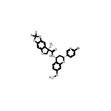 COc1ccc2c(c1)O[C@@H](c1ccc(Br)nc1)C[C@H]2NC(=O)[C@@]1(C)COc2cc3c(cc21)OC(F)(F)O3